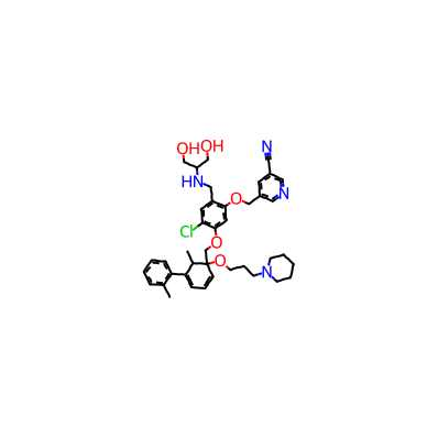 Cc1ccccc1C1=CC=CC(COc2cc(OCc3cncc(C#N)c3)c(CNC(CO)CO)cc2Cl)(OCCCN2CCCCC2)C1C